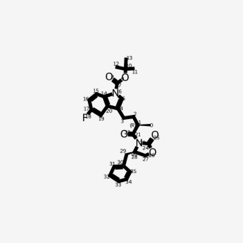 C[C@H](CCc1cn(C(=O)OC(C)(C)C)c2ccc(F)cc12)C(=O)N1C(=O)OC[C@H]1Cc1ccccc1